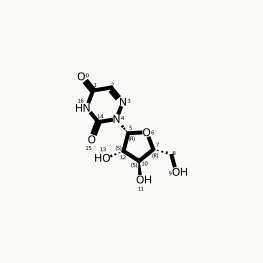 O=c1cnn([C@@H]2O[C@H](CO)[C@@H](O)[C@@H]2O)c(=O)[nH]1